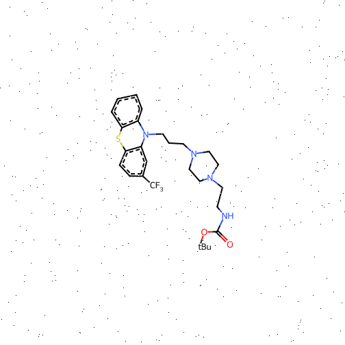 CC(C)(C)OC(=O)NCCN1CCN(CCCN2c3ccccc3Sc3ccc(C(F)(F)F)cc32)CC1